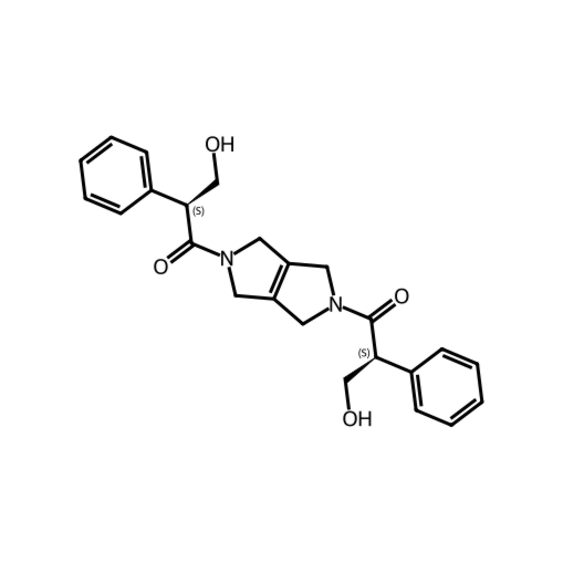 O=C([C@H](CO)c1ccccc1)N1CC2=C(C1)CN(C(=O)[C@H](CO)c1ccccc1)C2